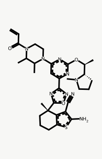 C=CC(=O)N1CCN(c2cc(-c3noc([C@@]4(C)CCCc5sc(N)c(C#N)c54)n3)nc(O[C@@H](C)[C@@H]3CCCN3C)n2)C(C)C1C